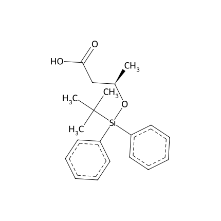 C[C@H](CC(=O)O)O[Si](c1ccccc1)(c1ccccc1)C(C)(C)C